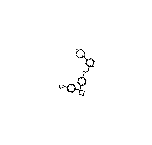 Cc1ccc(C2(c3ccc(OCc4nccc(N5CCOCC5)n4)cc3)CCC2)cc1